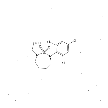 O=C(O)CN1CCCCN(c2c(Cl)cc(Cl)cc2Cl)S1(=O)=O